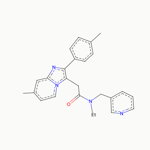 CCN(Cc1cccnc1)C(=O)Cc1c(-c2ccc(C)cc2)nc2cc(C)ccn12